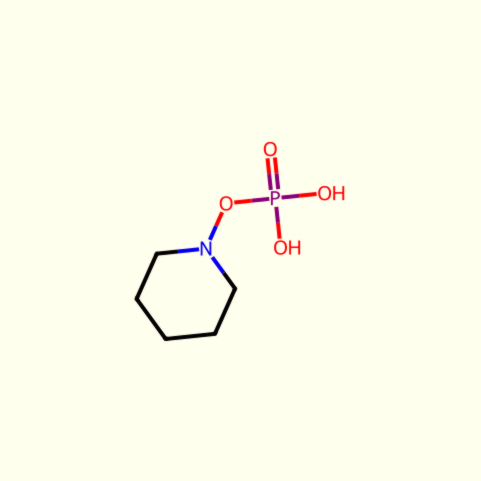 O=P(O)(O)ON1CCCCC1